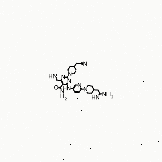 N#CCC1CCN(c2nc(C=N)c(C(N)=O)c(Nc3ccc(N4CCC(CC(=N)N)CC4)nc3)n2)CC1